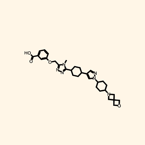 Cn1c(COc2cccc(C(=O)O)c2)nnc1C1CCC(c2cnn(C3CCC(N4CC5(COC5)C4)CC3)c2)CC1